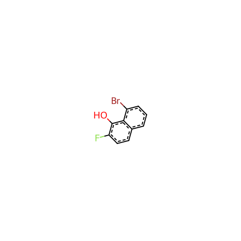 Oc1c(F)ccc2cccc(Br)c12